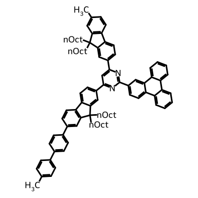 CCCCCCCCC1(CCCCCCCC)c2cc(C)ccc2-c2ccc(-c3cc(-c4ccc5c(c4)C(CCCCCCCC)(CCCCCCCC)c4cc(-c6ccc(-c7ccc(C)cc7)cc6)ccc4-5)nc(-c4ccc5c6ccccc6c6ccccc6c5c4)n3)cc21